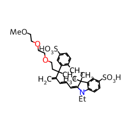 C=C(/C=C/C=C1/N(CC)c2ccc(S(=O)(=O)O)cc2C1(C)C)C(C)(CCOCCOCCOC)c1cc(S(=O)(=O)O)ccc1C